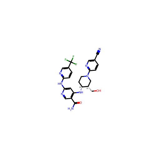 N#Cc1ccc(N2CC[C@@H](Nc3cc(Nc4ccc(C(F)(F)F)cn4)ncc3C(N)=O)[C@@H](CO)C2)nc1